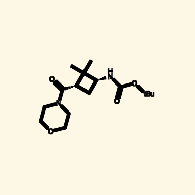 CC(C)(C)OC(=O)N[C@@H]1C[C@H](C(=O)N2CCOCC2)C1(C)C